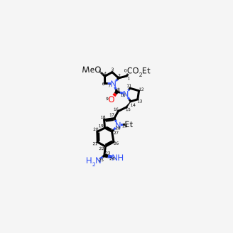 CCOC(=O)CC1CC(OC)CN1C(=O)N1CCC[C@H]1CCc1cc2ccc(C(=N)N)cc2n1CC